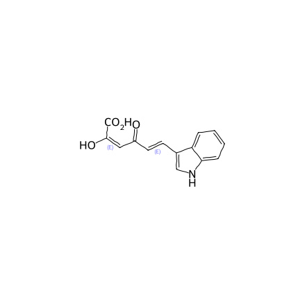 O=C(/C=C/c1c[nH]c2ccccc12)/C=C(/O)C(=O)O